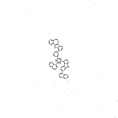 C1=Cc2ccccc2-c2sc3c(-c4cccc(-c5nc(-c6cccc7ccccc67)nc(-c6cccc7oc8cc(-c9cccc%10ccccc9%10)ccc8c67)n5)c4)cccc3c2C1